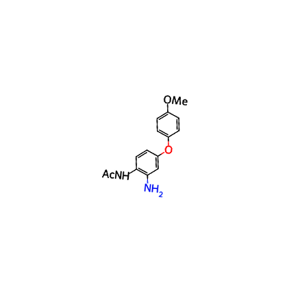 COc1ccc(Oc2ccc(NC(C)=O)c(N)c2)cc1